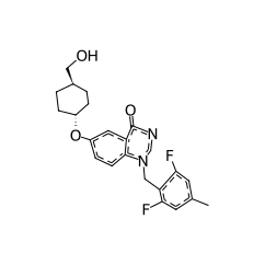 Cc1cc(F)c(Cn2cnc(=O)c3cc(O[C@H]4CC[C@H](CO)CC4)ccc32)c(F)c1